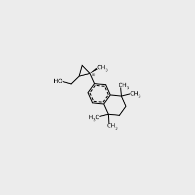 CC1(C)CCC(C)(C)c2cc([C@@]3(C)CC3CO)ccc21